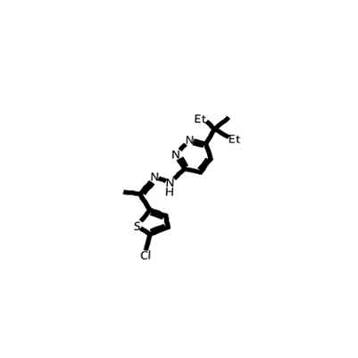 CCC(C)(CC)c1ccc(NN=C(C)c2ccc(Cl)s2)nn1